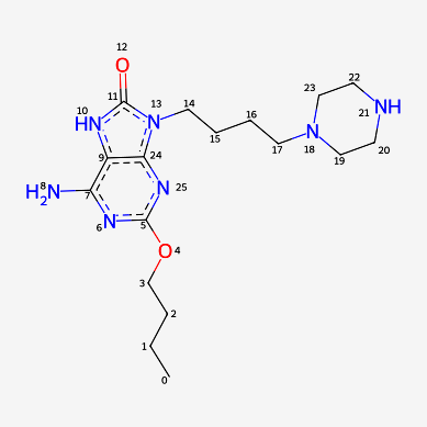 CCCCOc1nc(N)c2[nH]c(=O)n(CCCCN3CCNCC3)c2n1